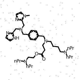 CCCN(CCC)CCCCN(CCC(=O)OCCN(CCC)CCC)Cc1ccc(CN(Cc2ncc[nH]2)Cc2nccn2C)cc1